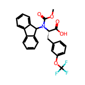 COC(=O)N(C1c2ccccc2-c2ccccc21)[C@@H](Cc1cccc(OC(F)(F)F)c1)C(=O)O